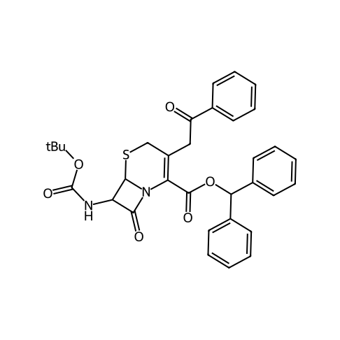 CC(C)(C)OC(=O)NC1C(=O)N2C(C(=O)OC(c3ccccc3)c3ccccc3)=C(CC(=O)c3ccccc3)CSC12